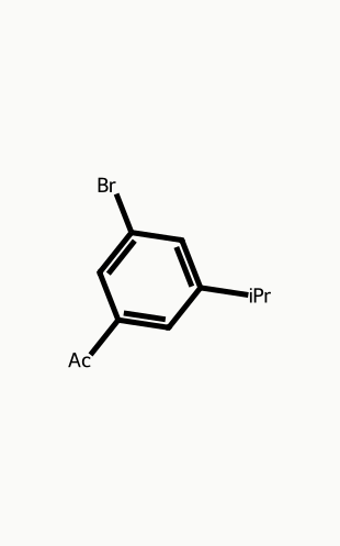 CC(=O)c1cc(Br)cc(C(C)C)c1